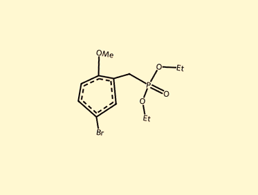 CCOP(=O)(Cc1cc(Br)ccc1OC)OCC